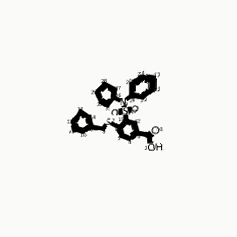 O=C(O)c1ccc(SCc2ccccc2)c(S(=O)(=O)N(c2ccccc2)c2ccccc2)c1